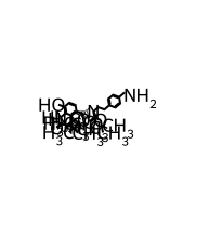 CC(C)(C)OC(=O)N(CCc1ccc(CN)cc1)C[C@H](O[Si](C)(C)C(C)(C)C)c1ccc(O)c2[nH]c(=O)ccc12